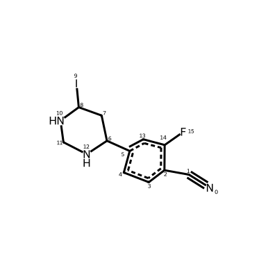 N#Cc1ccc(C2CC(I)NCN2)cc1F